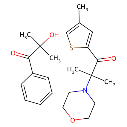 CC(C)(O)C(=O)c1ccccc1.Cc1csc(C(=O)C(C)(C)N2CCOCC2)c1